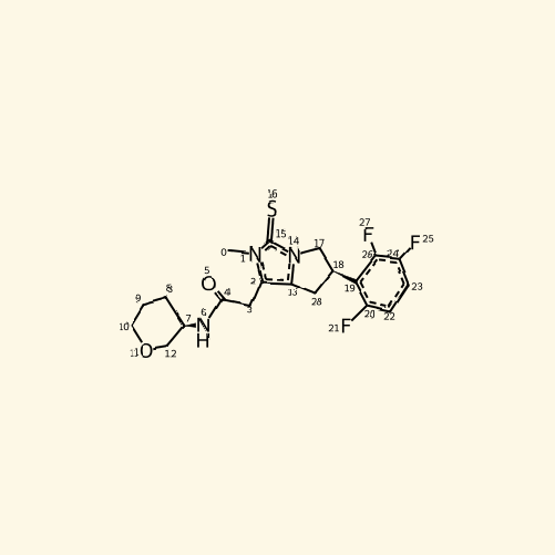 Cn1c(CC(=O)N[C@@H]2CCCOC2)c2n(c1=S)C[C@@H](c1c(F)ccc(F)c1F)C2